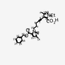 CCn1nc(C)c(C#CCCCn2nc(C)cc2C(=O)OCc2ccccc2)c1C(=O)O